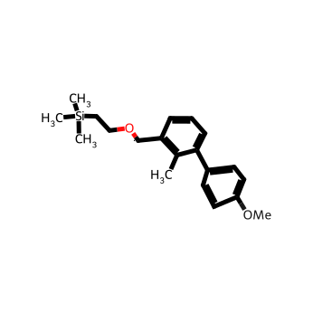 COc1ccc(-c2cccc([CH]OCC[Si](C)(C)C)c2C)cc1